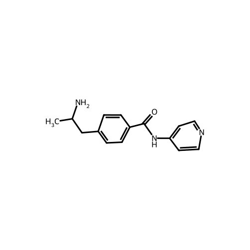 CC(N)Cc1ccc(C(=O)Nc2ccncc2)cc1